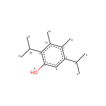 Cc1c(C(C)C)cc(O)c(C(C)C)c1C